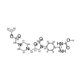 COC(=O)NC(=N)c1ccc(N2CC(CN3CCN(CC(=O)OC(C)C)CC3)OC2=O)cc1